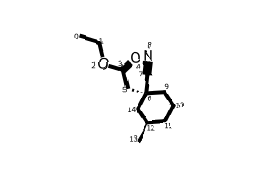 CCOC(=O)C[C@]1(C#N)CCC[C@@H](C)C1